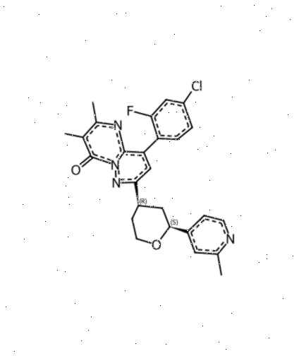 Cc1cc([C@@H]2C[C@H](c3cc(-c4ccc(Cl)cc4F)c4nc(C)c(C)c(=O)n4n3)CCO2)ccn1